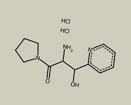 Cl.Cl.NC(C(=O)N1CCCC1)C(O)c1ccccn1